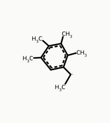 C[CH]c1cc(C)c(C)c(C)c1C